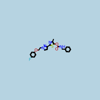 Cc1nc(-c2ccn(CCOc3ccc(F)cc3)n2)sc1OC(=O)NCc1ccccc1